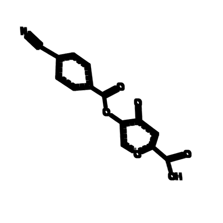 N#Cc1ccc(C(=O)Oc2coc(C(=O)O)cc2=O)cc1